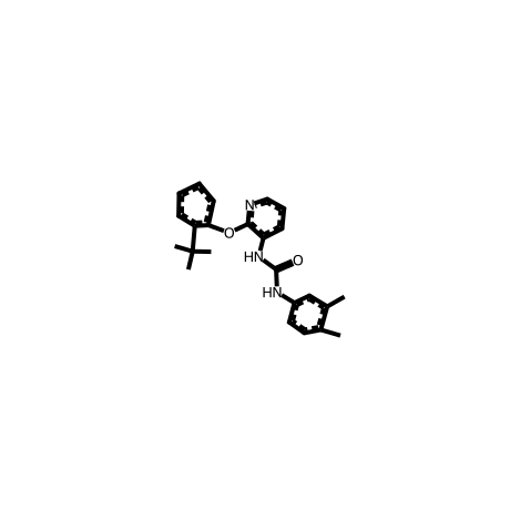 Cc1ccc(NC(=O)Nc2cccnc2Oc2ccccc2C(C)(C)C)cc1C